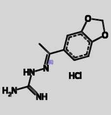 C/C(=N\NC(=N)N)c1ccc2c(c1)OCO2.Cl